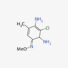 CON=C1C=C(C)C(N)=C(Cl)C1N